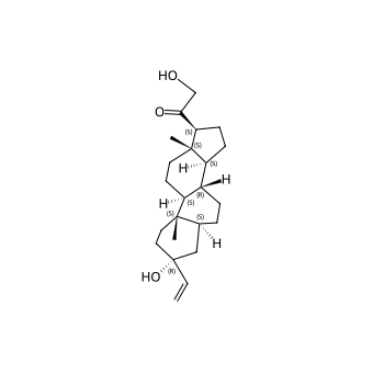 C=C[C@@]1(O)CC[C@@]2(C)[C@@H](CC[C@@H]3[C@@H]2CC[C@]2(C)[C@@H](C(=O)CO)CC[C@@H]32)C1